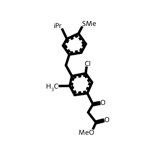 COC(=O)CC(=O)c1cc(C)c(Cc2ccc(SC)c(C(C)C)c2)c(Cl)c1